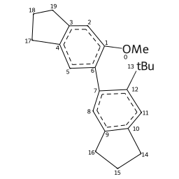 COc1cc2c(cc1-c1cc3c(cc1C(C)(C)C)CCC3)CCC2